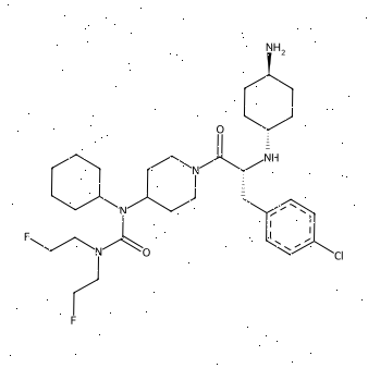 N[C@H]1CC[C@H](N[C@H](Cc2ccc(Cl)cc2)C(=O)N2CCC(N(C(=O)N(CCF)CCF)C3CCCCC3)CC2)CC1